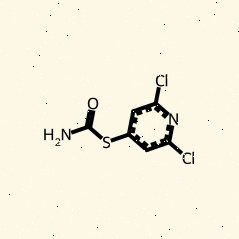 NC(=O)Sc1cc(Cl)nc(Cl)c1